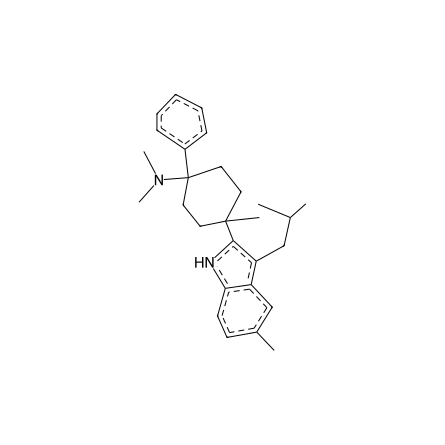 Cc1ccc2[nH]c(C3(C)CCC(c4ccccc4)(N(C)C)CC3)c(CC(C)C)c2c1